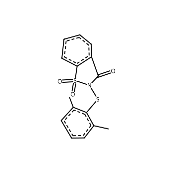 Cc1cccc(C)c1SN1C(=O)c2ccccc2S1(=O)=O